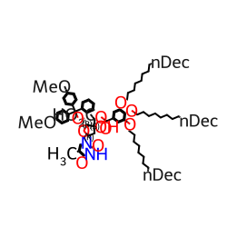 CCCCCCCCCCCCCCCCCCOc1cc(C(=O)OC(C(=O)O)[C@]2(O)C[C@H](n3cc(C)c(=O)[nH]c3=O)O[C@@H]2COC(c2ccccc2)(c2ccc(OC)cc2)c2ccc(OC)cc2)cc(OCCCCCCCCCCCCCCCCCC)c1OCCCCCCCCCCCCCCCCCC